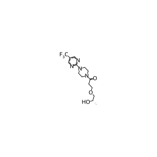 C[C@H](O)COCCC(=O)N1CCN(c2ncc(C(F)(F)F)cn2)CC1